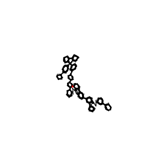 c1ccc(-c2ccc(C3(c4cccc(-c5ccc(-c6ccc(-c7ccccc7-n7c8ccccc8c8cc(-c9ccc%10c(c9)c9ccccc9n%10-c9cccc(-c%10ccccc%10)c9)ccc87)cc6)cc5)c4)c4ccccc4-c4ccccc43)cc2)cc1